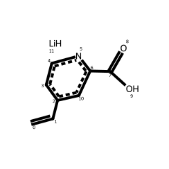 C=Cc1ccnc(C(=O)O)c1.[LiH]